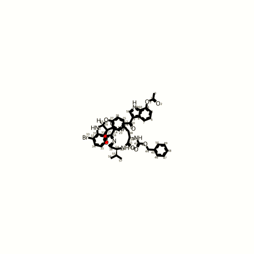 CC(=O)Oc1cccc2c(C(=O)CNC(=O)c3nc4oc3C35c6cc(ccc6O[C@@H]3Nc3c(Br)cccc35)C[C@H](NC(=O)OCc3ccccc3)C(=O)N[C@H]4C(C)C)c[nH]c12